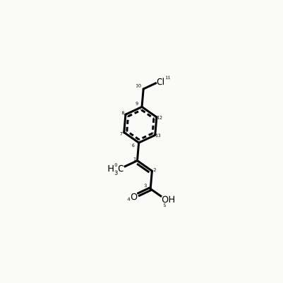 CC(=CC(=O)O)c1ccc(CCl)cc1